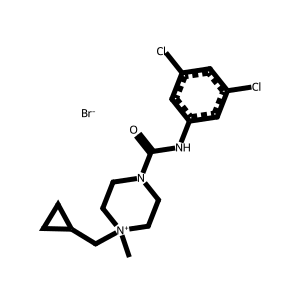 C[N+]1(CC2CC2)CCN(C(=O)Nc2cc(Cl)cc(Cl)c2)CC1.[Br-]